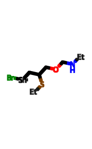 CCNCOCC([CH2][Sn][Br])SCC